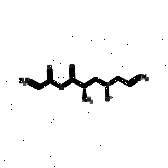 C=CC[S+]([O-])C[C@H](N)C(=O)OC(=O)C=C